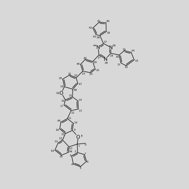 CC1(c2ccccc2)Oc2cc(-c3ccc4c(c3)oc3ccc(-c5ccc(-c6nc(-c7ccccc7)nc(-c7ccccc7)n6)cc5)cc34)ccc2-c2ccccc21